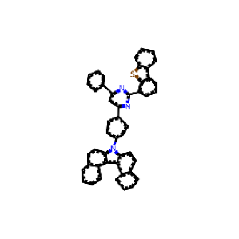 c1ccc(-c2cc(-c3ccc(-n4c5ccc6ccccc6c5c5c6ccccc6ccc54)cc3)nc(-c3cccc4c3sc3ccccc34)n2)cc1